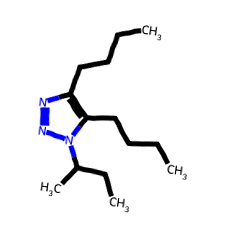 CCCCc1nnn(C(C)CC)c1CCCC